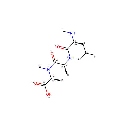 CN[C@@H](CC(C)C)C(=O)N[C@@H](C)C(=O)N(C)[C@@H](C)C(=O)O